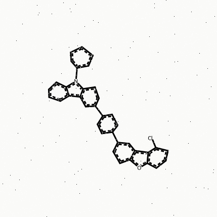 Clc1cccc2oc3ccc(-c4ccc(-c5ccc6c(c5)c5ccccc5n6-c5ccccc5)cc4)cc3c12